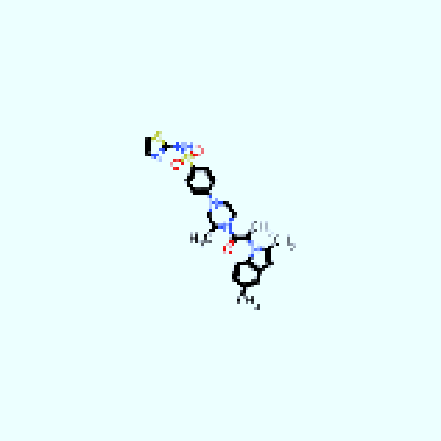 Cc1ccc2c(c1)cc(C)n2C(C)C(=O)N1CCN(c2ccc(S(=O)(=O)Nc3nccs3)cc2)CC1C